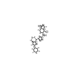 Clc1c(Nc2nnc(C3CCCn4cc(-c5ccccc5)nc43)s2)ccc2[nH]ncc12